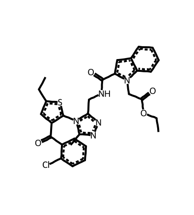 CCOC(=O)Cn1c(C(=O)NCc2nnc(C)n2-c2sc(CC)cc2C(=O)c2ccccc2Cl)cc2ccccc21